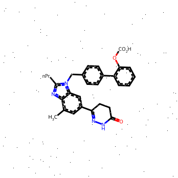 CCCc1nc2c(C)cc(C3=NNC(=O)CC3)cc2n1Cc1ccc(-c2ccccc2OC(=O)O)cc1